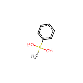 CS(O)(O)c1ccccc1